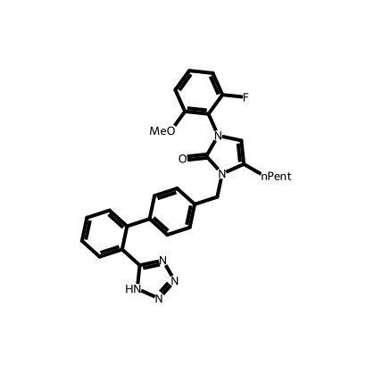 CCCCCc1cn(-c2c(F)cccc2OC)c(=O)n1Cc1ccc(-c2ccccc2-c2nnn[nH]2)cc1